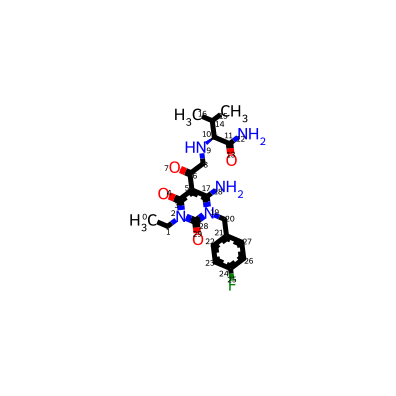 CCn1c(=O)c(C(=O)CN[C@H](C(N)=O)C(C)C)c(N)n(Cc2ccc(F)cc2)c1=O